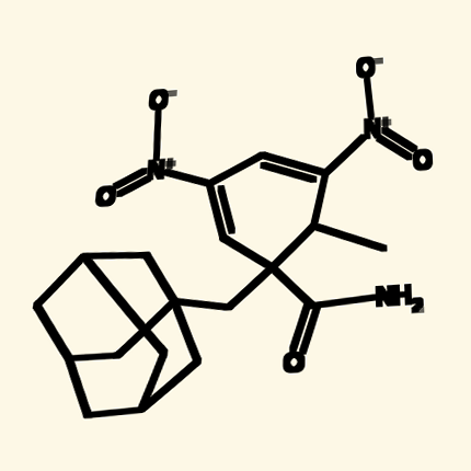 CC1C([N+](=O)[O-])=CC([N+](=O)[O-])=CC1(CC12CC3CC(CC(C3)C1)C2)C(N)=O